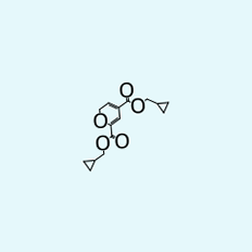 O=C(OCC1CC1)C1=CCOC(C(=O)OCC2CC2)=C1